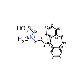 CN(CCC=C1c2ccccc2CCc2ccccc21)CS(=O)(=O)O